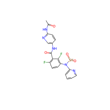 CC(=O)Nc1ccc(NC(=O)c2c(F)ccc(N(c3ccccn3)[SH](=O)=O)c2F)cn1